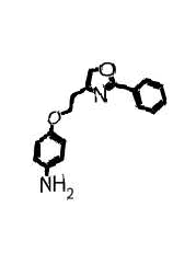 Nc1ccc(OCCc2coc(-c3ccccc3)n2)cc1